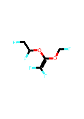 FCOC(OC(F)CF)=C(F)F